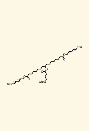 CCCC/C=C/C=C/COC(=O)CCCCCCCC(CCCCCCCC(=O)OC/C=C/C=C/CCCC)OC(=O)CCCOC